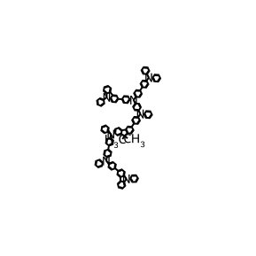 CC1(C)c2ccc(-c3ccc(N(c4ccccc4)c4ccc(N(c5ccc(-c6ccc(N(c7ccccc7)c7ccccc7)cc6)cc5)c5ccc(-c6ccc7c(c6)c6ccccc6n7-c6ccccc6)cc5)cc4)cc3)cc2-c2ccc(N(c3ccccc3)c3ccc(-c4ccc(N(c5ccccc5)c5ccc(-c6ccc7c(c6)c6ccccc6n7-c6ccccc6)cc5)cc4)cc3)cc21